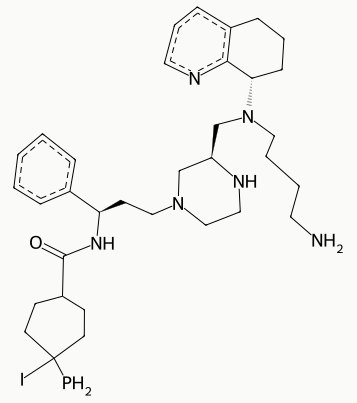 NCCCCN(C[C@@H]1CN(CC[C@@H](NC(=O)C2CCC(P)(I)CC2)c2ccccc2)CCN1)[C@H]1CCCc2cccnc21